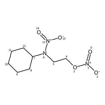 O=[N+]([O-])OCCN(C1CCCCC1)[N+](=O)[O-]